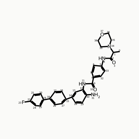 CC(C(=O)Nc1ccc(C(=O)Nc2cc(-c3ccc(-c4ccc(F)cc4)cc3)ccc2N)cc1)N1CCOCC1